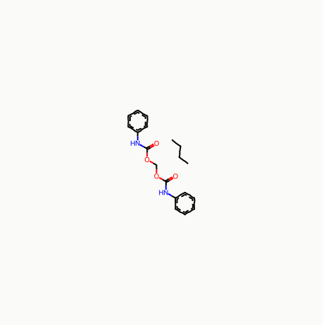 CCCC.O=C(Nc1ccccc1)OCOC(=O)Nc1ccccc1